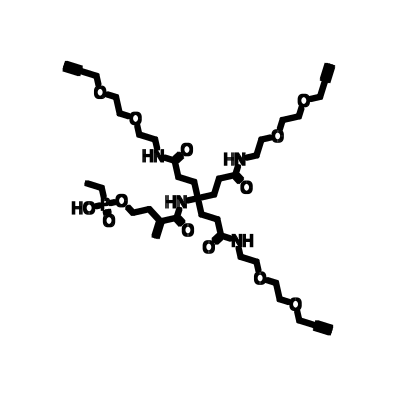 C#CCOCCOCCNC(=O)CCC(CCC(=O)NCCOCCOCC#C)(CCC(=O)NCCOCCOCC#C)NC(=O)C(=C)CCOP(=O)(O)CC